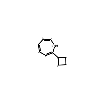 [CH]1CCC1C1=CC=CC=CN1